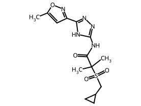 Cc1cc(-c2nnc(NC(=O)C(C)(C)S(=O)(=O)CC3CC3)[nH]2)no1